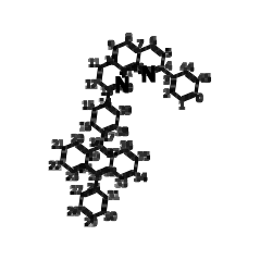 c1ccc(-c2ccc3ccc4ccc(-c5ccc(-c6c7ccccc7c(-c7ccccc7)c7ccccc67)cc5)nc4c3n2)cc1